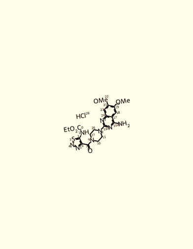 CCOC(=O)Nc1snnc1C(=O)N1CCN(c2nc(N)c3cc(OC)c(OC)cc3n2)CC1.Cl